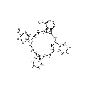 Clc1cccc2c3nc4nc(nc5[nH]c(nc6nc(nc([nH]3)c12)-c1ccccc1-6)c1ccccc51)-c1ccccc1-4.[Mn]